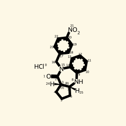 Cl.O=C1[C@H]2CCC[C@H]2Nc2ccccc2N1Cc1ccc([N+](=O)[O-])cc1